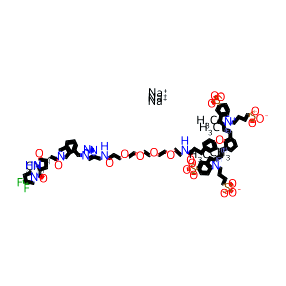 CC1(C)C(/C=C/C2=C(Oc3ccc(CCC(=O)NCCOCCOCCOCCOCCC(=O)NCc4cn(Cc5cccc6c5CN(C(=O)C[C@@H]5C[C@@H](C(=O)N7CC(F)(F)C[C@H]7C#N)NC5=O)C6)nn4)cc3)C(=C/C=C3/N(CCCCS(=O)(=O)[O-])c4ccc(S(=O)(=O)[O-])cc4C3(C)C)/CCC2)=[N+](CCCCS(=O)(=O)[O-])c2ccc(S(=O)(=O)[O-])cc21.[Na+].[Na+].[Na+]